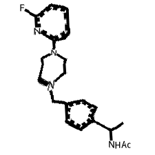 CC(=O)NC(C)c1ccc(CN2CCN(c3cccc(F)n3)CC2)cc1